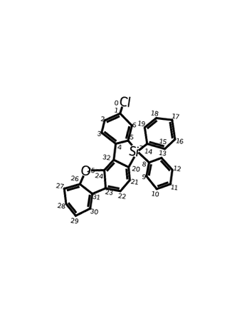 Clc1ccc2c(c1)[Si](c1ccccc1)(c1ccccc1)c1ccc3c(oc4ccccc43)c1-2